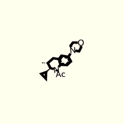 CC(=O)N1c2ccc(N3CCOCC3)cc2C[C@@H](C)[C@@H]1C1CC1